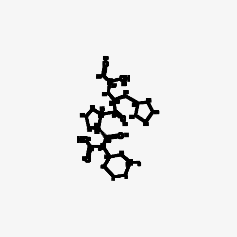 CN1CCCC(N(C(=O)O)C(=O)[C@@H]2CCCN2C(=O)[C@H](CC2CCCC2)CN(O)C=O)C1